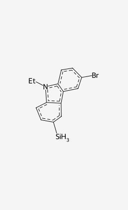 CCn1c2ccc([SiH3])cc2c2cc(Br)ccc21